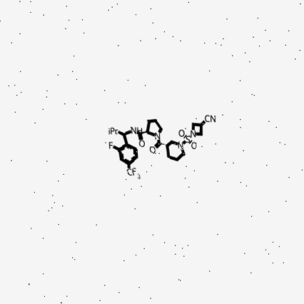 CC(C)C(NC(=O)[C@H]1CCCN1C(=O)[C@H]1CCCN(S(=O)(=O)N2CC(C#N)C2)C1)c1ccc(C(F)(F)F)cc1F